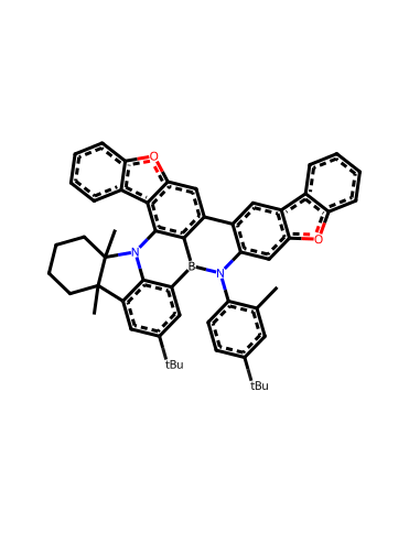 Cc1cc(C(C)(C)C)ccc1N1B2c3cc(C(C)(C)C)cc4c3N(c3c2c(cc2oc5ccccc5c32)-c2cc3c(cc21)oc1ccccc13)C1(C)CCCCC41C